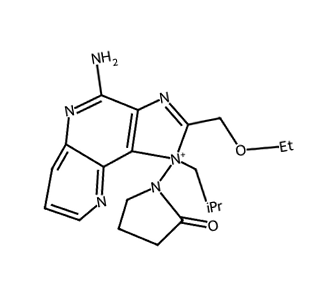 CCOCC1=Nc2c(N)nc3cccnc3c2[N+]1(CC(C)C)N1CCCC1=O